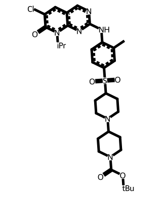 Cc1cc(S(=O)(=O)C2CCN(C3CCN(C(=O)OC(C)(C)C)CC3)CC2)ccc1Nc1ncc2cc(Cl)c(=O)n(C(C)C)c2n1